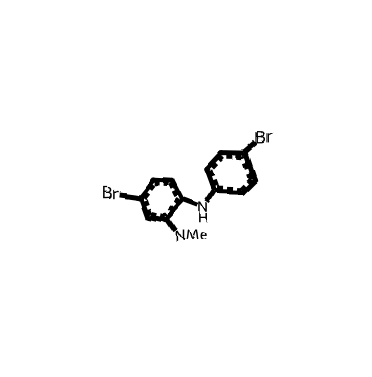 CNc1cc(Br)ccc1Nc1ccc(Br)cc1